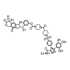 CCNC(=O)c1nnc(-c2cc(C(C)C)c(O)cc2O)n1-c1ccc(S(=O)(=O)N2CCC(C(=O)N3CCN(C(=O)Oc4ccc5c(c4)C(CC)C4Cn6c(cc7c(c6=O)COC(=O)C7(O)CC)C4=N5)CC3)CC2)cc1